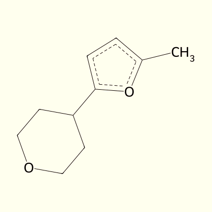 Cc1ccc(C2CCOCC2)o1